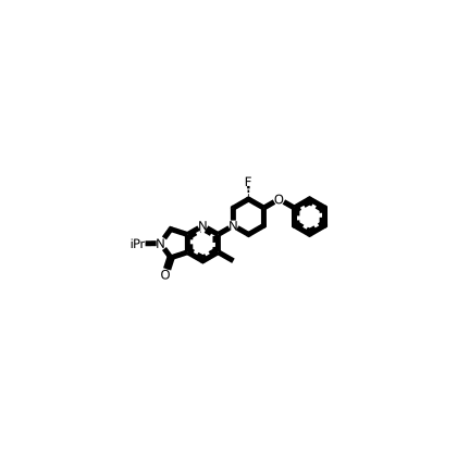 Cc1cc2c(nc1N1CCC(Oc3ccccc3)[C@@H](F)C1)CN(C(C)C)C2=O